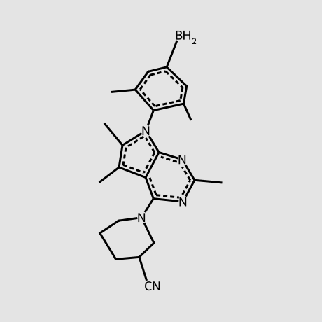 Bc1cc(C)c(-n2c(C)c(C)c3c(N4CCCC(C#N)C4)nc(C)nc32)c(C)c1